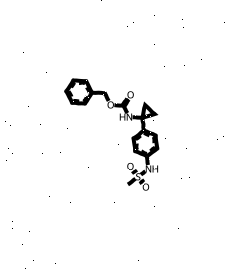 CS(=O)(=O)Nc1ccc(C2(NC(=O)OCc3ccccc3)CC2)cc1